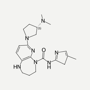 CC1=CN=C(NC(=O)N2CCCNc3ccc(N4CC[C@H](N(C)C)C4)nc32)C1